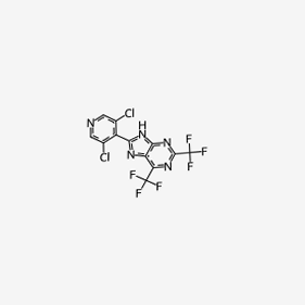 FC(F)(F)c1nc(C(F)(F)F)c2nc(-c3c(Cl)cncc3Cl)[nH]c2n1